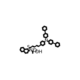 C=C(OO)[n+]1c(/C=C/C=C/c2ccc(N(c3ccc(-c4ccccc4)cc3)c3ccc(-c4ccccc4)cc3)cc2)sc2c3ccccc3ccc21